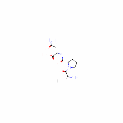 C[C@H](N)C(=O)N1CCC[C@H]1C(=O)N[C@@H](CC(N)=O)C(=O)O